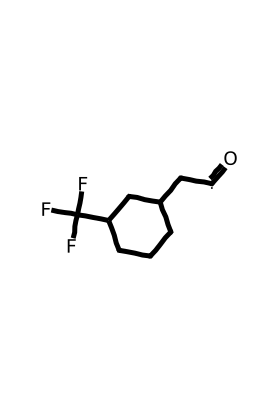 O=[C]CC1CCCC(C(F)(F)F)C1